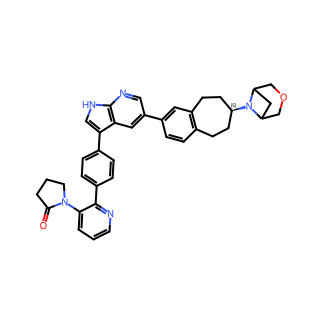 O=C1CCCN1c1cccnc1-c1ccc(-c2c[nH]c3ncc(-c4ccc5c(c4)CC[C@@H](N4C6COCC4C6)CC5)cc23)cc1